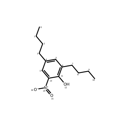 CCCCc1cc(CCCC)c(O)c([N+](=O)[O-])c1